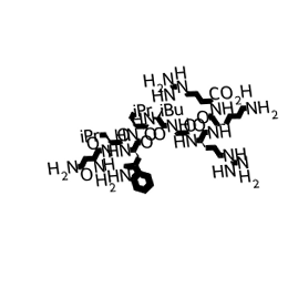 CC[C@H](C)[C@H](NC(=O)[C@H](CC(C)C)NC(=O)[C@H](Cc1c[nH]c2ccccc12)NC(=O)[C@H](CC(C)C)NC(=O)[C@@H](N)CC(N)=O)C(=O)NCC(=O)N[C@@H](CCCNC(=N)N)C(=O)N[C@@H](CCCCN)C(=O)N[C@@H](CCCNC(=N)N)C(=O)O